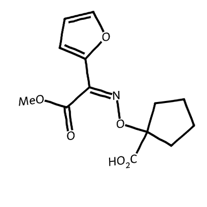 COC(=O)/C(=N\OC1(C(=O)O)CCCC1)c1ccco1